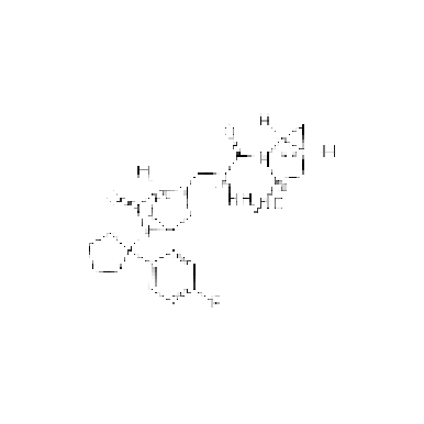 N#C[C@@H]1C[C@@H]2C[C@@H]2N1C(=O)[C@@H](N)CN1CC2C[C@H]1C(=O)N2C1(c2ccc(F)cc2)CCCC1